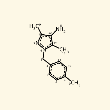 Cc1ccc(Cn2nc(C)c(N)c2C)cc1